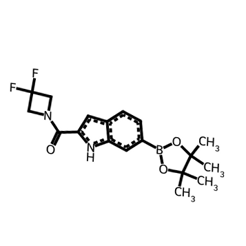 CC1(C)OB(c2ccc3cc(C(=O)N4CC(F)(F)C4)[nH]c3c2)OC1(C)C